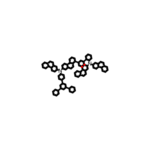 c1ccc(-c2cc(-c3ccccc3)cc(-c3ccc(N(c4ccc5c(ccc6ccccc65)c4)c4ccc5c(ccc6c(-c7cccc(-c8ccccc8N(c8ccc9c(ccc%10ccccc%109)c8)c8ccc9c(ccc%10ccccc%109)c8)c7)cccc65)c4)cc3)c2)cc1